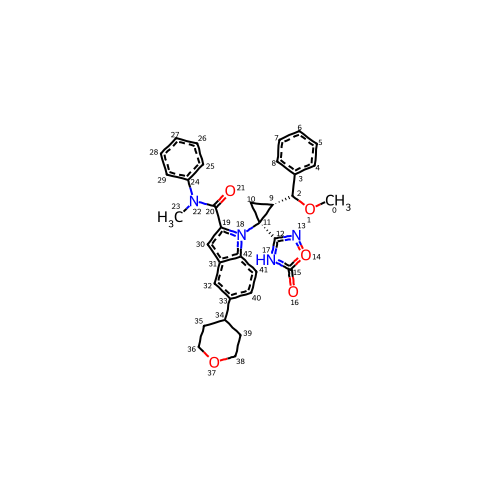 COC(c1ccccc1)[C@H]1C[C@]1(c1noc(=O)[nH]1)n1c(C(=O)N(C)c2ccccc2)cc2cc(C3CCOCC3)ccc21